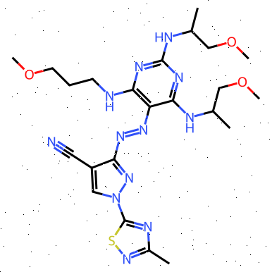 COCCCNc1nc(NC(C)COC)nc(NC(C)COC)c1N=Nc1nn(-c2nc(C)ns2)cc1C#N